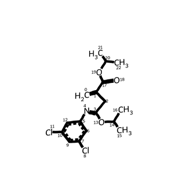 C=C(CC(=Nc1cc(Cl)cc(Cl)c1)OC(C)C)C(=O)OC(C)C